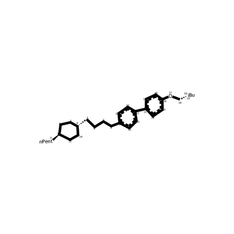 CCCCC[C@H]1CC[C@H](CCCCc2ccc(-c3ccc(OC[C@@H](C)CC)cc3)cc2)CC1